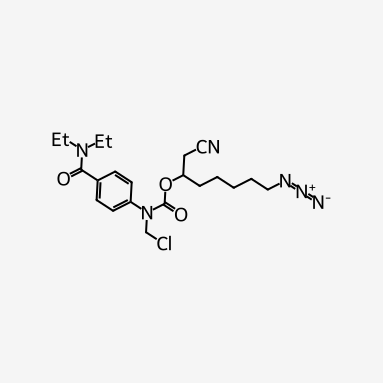 CCN(CC)C(=O)c1ccc(N(CCl)C(=O)OC(CC#N)CCCCCN=[N+]=[N-])cc1